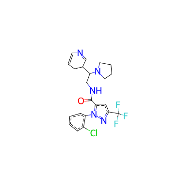 O=C(NCC(C1C=NC=CC1)N1CCCC1)c1cc(C(F)(F)F)nn1-c1ccccc1Cl